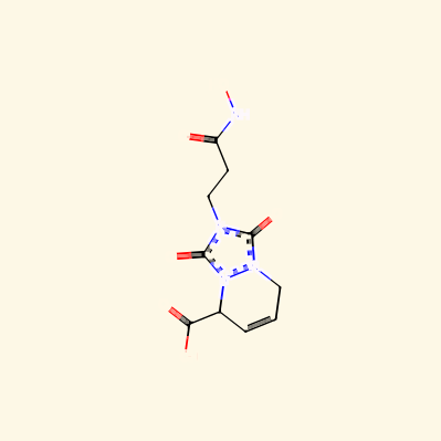 O=C(CCn1c(=O)n2n(c1=O)C(C(=O)O)C=CC2)NO